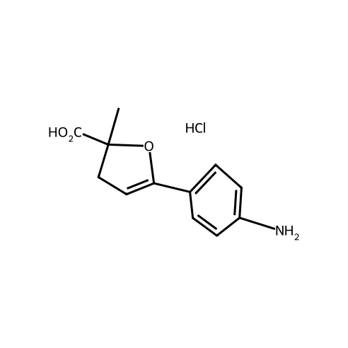 CC1(C(=O)O)CC=C(c2ccc(N)cc2)O1.Cl